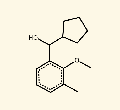 COc1c(C)cccc1C(O)C1CCCC1